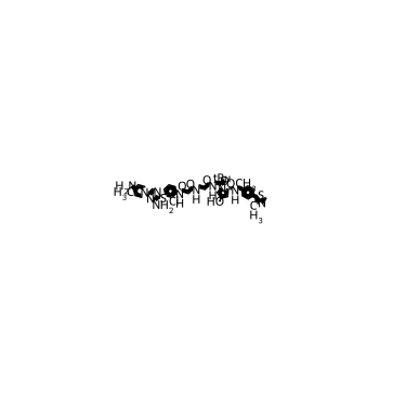 Cc1ncsc1-c1ccc([C@H](C)NC(=O)[C@@H]2C[C@@H](O)CN2C(=O)[C@@H](NC(=O)CCNC(=O)CC(=O)Nc2cccc(Sc3ncc(N4CCC(C)(N)CC4)nc3N)c2Cl)C(C)(C)C)cc1